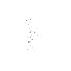 COc1cc(F)c(-n2c(=O)ccn([C@]3(C)O[C@H](CO)[C@@H](O)[C@@]3(C)O)c2=O)cc1OCc1cccc2[nH]nnc12.O=C(O)c1ccsc1C(=O)O